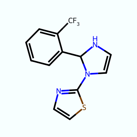 FC(F)(F)c1ccccc1C1NC=CN1c1nccs1